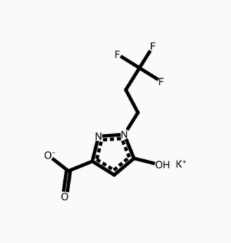 O=C([O-])c1cc(O)n(CCC(F)(F)F)n1.[K+]